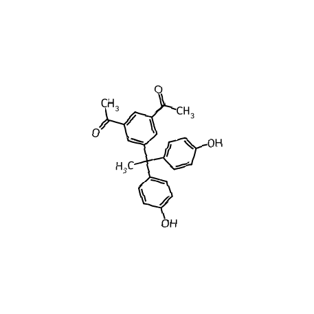 CC(=O)c1cc(C(C)=O)cc(C(C)(c2ccc(O)cc2)c2ccc(O)cc2)c1